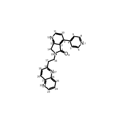 O=C1c2c(-c3ccncc3)ccnc2CN1CCc1ccc2ncccc2n1